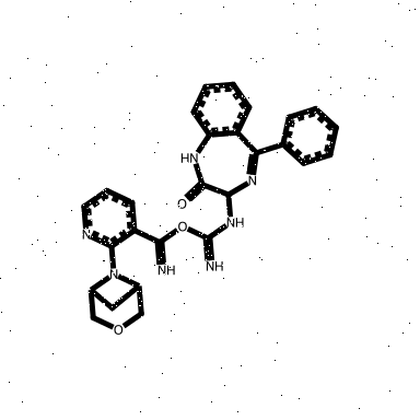 N=C(NC1N=C(c2ccccc2)c2ccccc2NC1=O)OC(=N)c1cccnc1N1C2COCC1C2